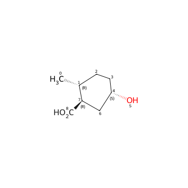 C[C@@H]1CC[C@H](O)C[C@H]1C(=O)O